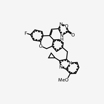 COc1cccn2c(Cc3ccc4c(c3)COc3cc(F)ccc3C4=Cc3noc(=O)[nH]3)c(C3CC3)nc12